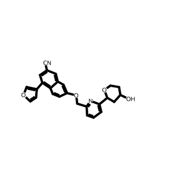 N#Cc1cc(-c2ccoc2)c2ccc(OCc3cccc(C4CC(O)CCO4)n3)cc2c1